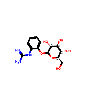 N=C(N)Nc1ccccc1OC1O[C@H](CO)[C@@H](O)[C@H](O)[C@H]1O